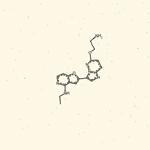 CCNc1nccc2oc(-c3cnc4ccc(OCCN)nn34)cc12